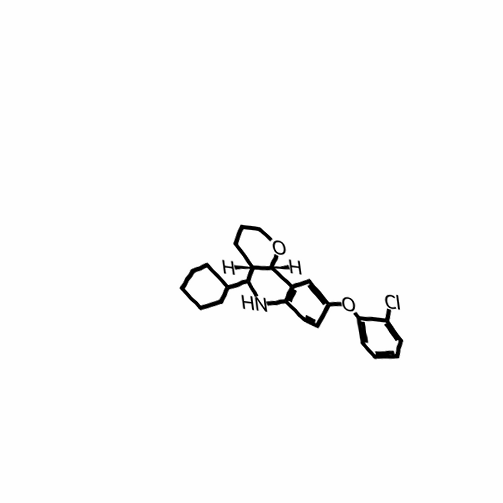 Clc1ccccc1Oc1ccc2c(c1)[C@H]1OCCC[C@H]1C(C1CCCCC1)N2